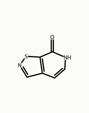 O=c1[nH]ccc2cnsc12